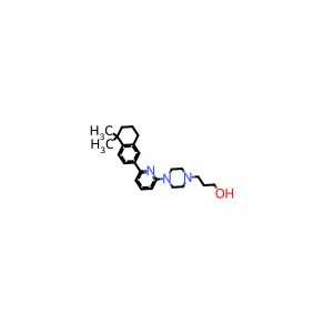 CC1(C)CCCc2cc(-c3cccc(N4CCN(CCCO)CC4)n3)ccc21